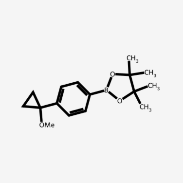 COC1(c2ccc(B3OC(C)(C)C(C)(C)O3)cc2)CC1